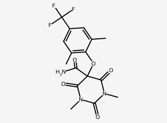 Cc1cc(C(F)(F)F)cc(C)c1OC1(C(N)=O)C(=O)N(C)C(=O)N(C)C1=O